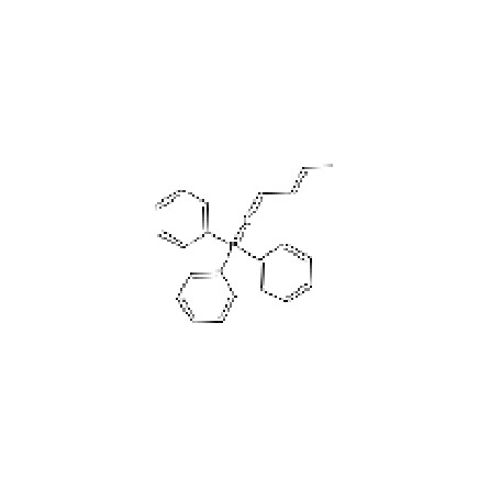 CC=CC=C=P(c1ccccc1)(c1ccccc1)c1ccccc1